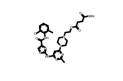 CNC(=O)CCC(=O)OCCN1CCN(c2cc(Nc3ncc(C(=O)Nc4c(C)cccc4Cl)s3)nc(C)n2)CC1